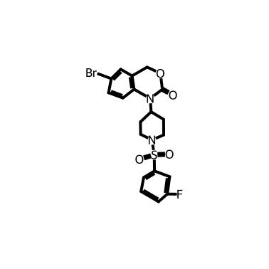 O=C1OCc2cc(Br)ccc2N1C1CCN(S(=O)(=O)c2cccc(F)c2)CC1